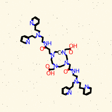 O=C(O)CN1CCN(CCC(=O)NCCN(CCc2ccccn2)CCc2ccccn2)CCN(CC(=O)O)CCN(CC(=O)NCCN(CCc2ccccn2)CCc2ccccn2)CC1